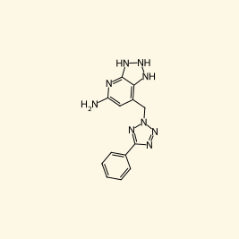 Nc1cc(Cn2nnc(-c3ccccc3)n2)c2c(n1)NNN2